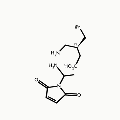 CC(C)C[C@H](CN)CC(=O)O.CC(N)N1C(=O)C=CC1=O